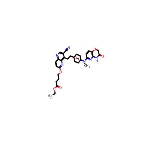 CCOC(=O)CCCOc1ccc2ncc(C#N)c(CCC34CCC(N(C)c5ccc6c(n5)NC(=O)CO6)(CC3)CO4)c2n1